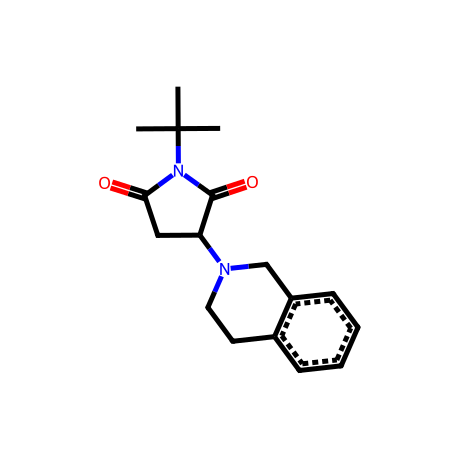 CC(C)(C)N1C(=O)CC(N2CCc3ccccc3C2)C1=O